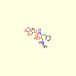 CC(C)CNC[C@@H](O)[C@H](Cc1ccccc1)NC(=O)O[C@H]1COC2OCC[C@H]21